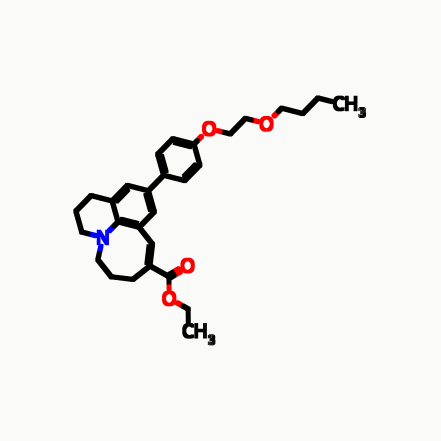 CCCCOCCOc1ccc(-c2cc3c4c(c2)CCCN4CCC/C(C(=O)OCC)=C\3)cc1